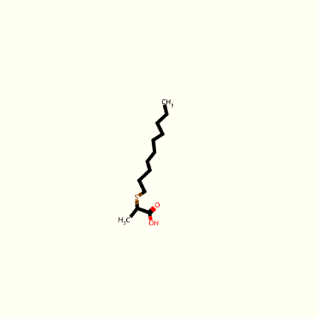 CCCCCCCCCCSC(C)C(=O)O